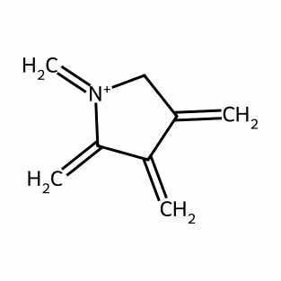 C=C1C[N+](=C)C(=C)C1=C